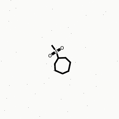 CS(=O)(=O)C1C[CH]CCCC1